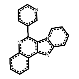 c1cncc(-c2nc3ccccc3c3nc4ccccn4c23)c1